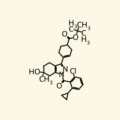 CC(C)(C)OC(=O)C1CC=C(c2nn(C(=O)c3c(Cl)cccc3C3CC3)c3c2CC[C@@](C)(O)C3)CC1